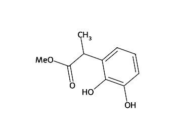 COC(=O)C(C)c1cccc(O)c1O